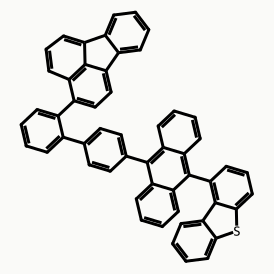 c1ccc(-c2ccc3c4c(cccc24)-c2ccccc2-3)c(-c2ccc(-c3c4ccccc4c(-c4cccc5sc6ccccc6c45)c4ccccc34)cc2)c1